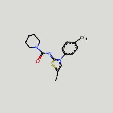 Cc1cn(-c2ccc(C(F)(F)F)cc2)c(=NC(=O)N2CCCCC2)s1